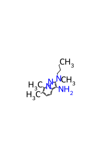 CCCCN(C)c1nn2c(C)c(C)ccc2c1N